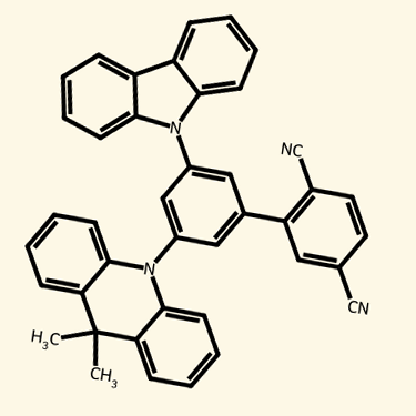 CC1(C)c2ccccc2N(c2cc(-c3cc(C#N)ccc3C#N)cc(-n3c4ccccc4c4ccccc43)c2)c2ccccc21